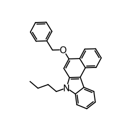 CCCCn1c2ccccc2c2c3ccccc3c(OCc3ccccc3)cc21